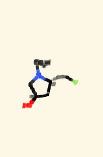 O=C(O)N1C[C@H](O)C[C@H]1CF